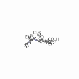 CC[Si](CC)(CC)O[C@@H](C/C=C(C)\C=C\C[C@H](C)[C@H](OC(=O)OCC(Cl)(Cl)Cl)[C@@H](C)C(=O)C(C)(C)[C@H](CC(=O)O)O[Si](CC)(CC)CC)/C(C)=C/c1csc(C)n1